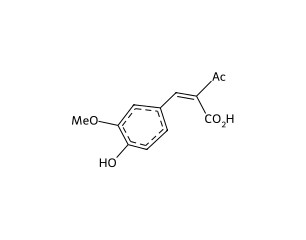 COc1cc(/C=C(/C(C)=O)C(=O)O)ccc1O